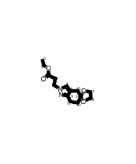 CCOC(=O)CCn1cc2c(n1)CCC1(C2)OCCO1